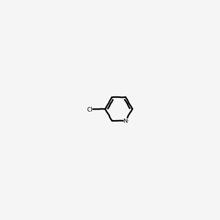 ClC1=CC=C[N]C1